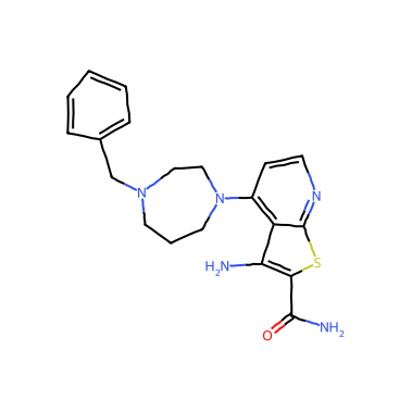 NC(=O)c1sc2nccc(N3CCCN(Cc4ccccc4)CC3)c2c1N